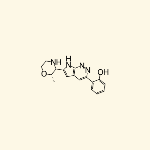 C[C@@H]1OCCNC1c1cc2cc(-c3ccccc3O)nnc2[nH]1